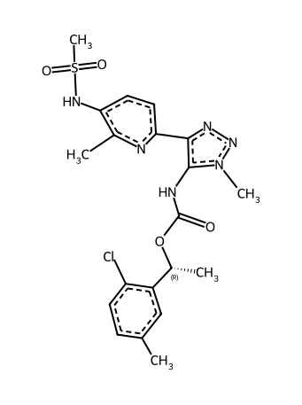 Cc1ccc(Cl)c([C@@H](C)OC(=O)Nc2c(-c3ccc(NS(C)(=O)=O)c(C)n3)nnn2C)c1